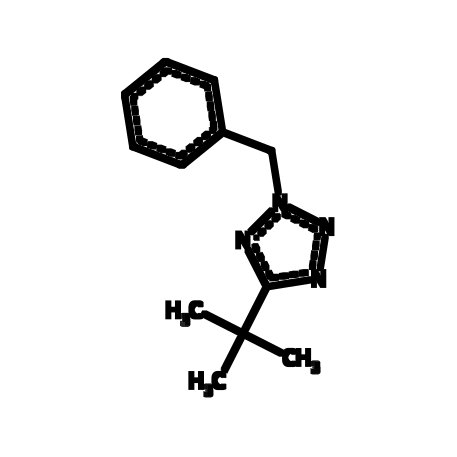 CC(C)(C)c1nnn(Cc2ccccc2)n1